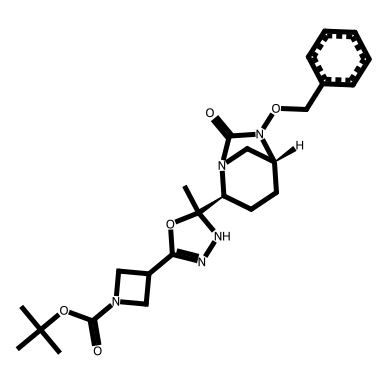 CC(C)(C)OC(=O)N1CC(C2=NNC(C)([C@@H]3CC[C@@H]4CN3C(=O)N4OCc3ccccc3)O2)C1